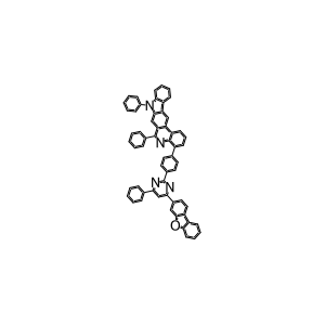 c1ccc(-c2cc(-c3ccc4c(c3)oc3ccccc34)nc(-c3ccc(-c4cccc5c4nc(-c4ccccc4)c4cc6c(cc45)c4ccccc4n6-c4ccccc4)cc3)n2)cc1